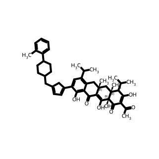 CC(=O)C1=C(O)C(C(C)C)[C@@]2(C)C[C@@]3(C)Cc4c(C(C)C)cc(C5=CC=C(CC6CCC(c7ccccc7C)CC6)C5)c(O)c4C(=O)C3=C(O)[C@@]2(O)C1=O